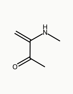 C=C(NC)C(C)=O